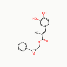 N#C/C(=C\c1ccc(O)c(O)c1)C(=O)OCC1OC1c1ccccc1